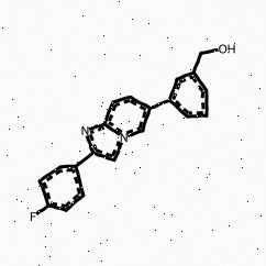 OCc1cccc(-c2ccc3nc(-c4ccc(F)cc4)cn3c2)c1